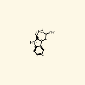 CCCC(O)CC1C(=O)Nc2ccccc21